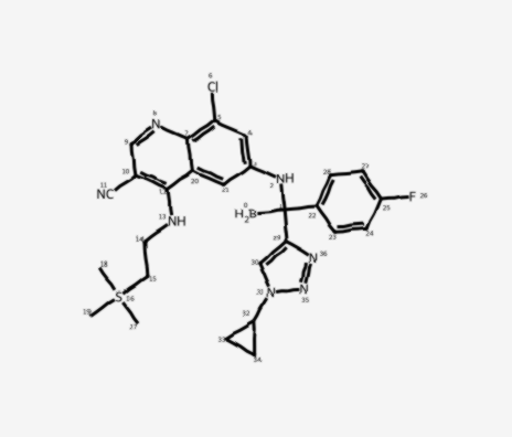 BC(Nc1cc(Cl)c2ncc(C#N)c(NCCS(C)(C)C)c2c1)(c1ccc(F)cc1)c1cn(C2CC2)nn1